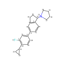 Fc1cc(-c2ccc3c(c2)CCC3N2CCCC2)ccc1C1CC1